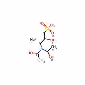 CC(O)N(CC(O)CS(=O)(=O)[O-])C(C)O.[Na+]